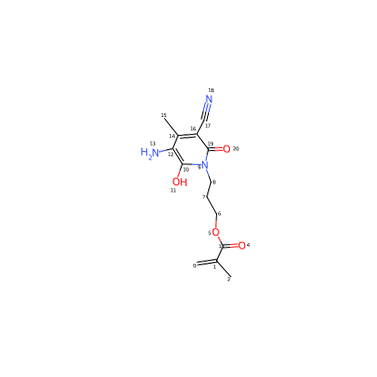 C=C(C)C(=O)OCCCn1c(O)c(N)c(C)c(C#N)c1=O